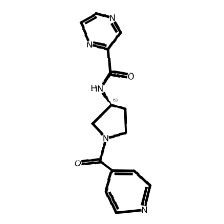 O=C(N[C@H]1CCN(C(=O)c2ccncc2)C1)c1cnccn1